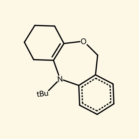 CC(C)(C)N1C2=C(CCCC2)OCc2ccccc21